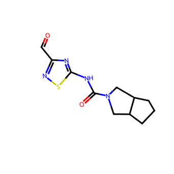 O=Cc1nsc(NC(=O)N2CC3CCCC3C2)n1